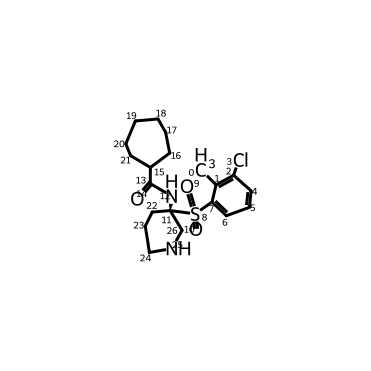 Cc1c(Cl)cccc1S(=O)(=O)[C@@]1(NC(=O)C2CCCCCC2)CCCNC1